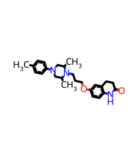 Cc1ccc(N2CC(C)N(CCCOc3ccc4c(c3)CCC(=O)N4)C(C)C2)cc1